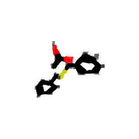 CC(=O)O.c1ccc(CSCc2ccccc2)cc1